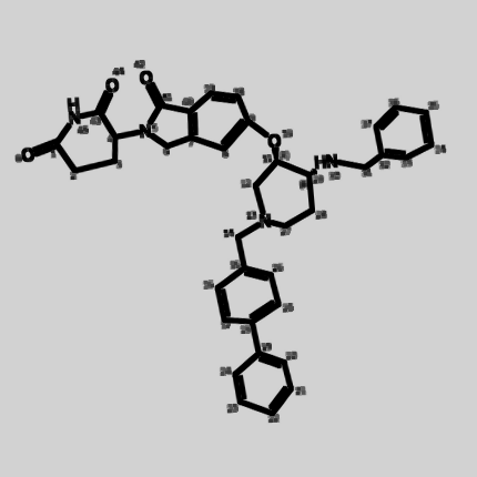 O=C1CCC(N2Cc3cc(O[C@@H]4CN(Cc5ccc(-c6ccccc6)cc5)CC[C@H]4NCc4ccccc4)ccc3C2=O)C(=O)N1